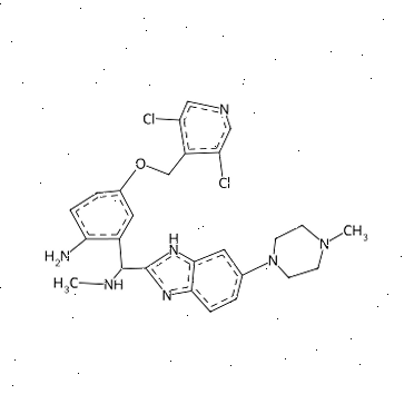 CNC(c1nc2ccc(N3CCN(C)CC3)cc2[nH]1)c1cc(OCc2c(Cl)cncc2Cl)ccc1N